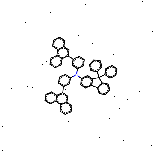 c1ccc(C2(c3ccccc3)c3ccccc3-c3ccc(N(c4cccc(-c5cc6ccccc6c6ccccc56)c4)c4cccc(-c5cc6ccccc6c6ccccc56)c4)cc32)cc1